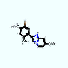 CNc1ccn2cc(-c3cc(Br)c(OC)cc3OC)nc2c1